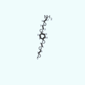 COCCOCCOc1ccc(OCCOCCN)cc1